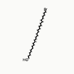 OCCCCCCCCCCCCCCCCCCCCCCCCCCCCCBr